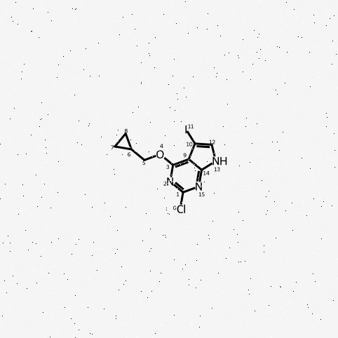 Clc1nc(OCC2CC2)c2c(I)c[nH]c2n1